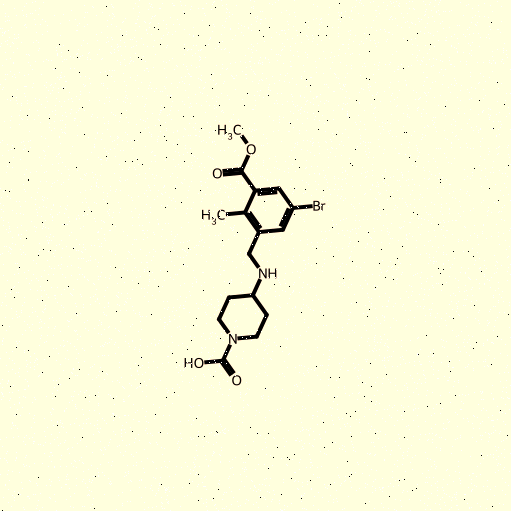 COC(=O)c1cc(Br)cc(CNC2CCN(C(=O)O)CC2)c1C